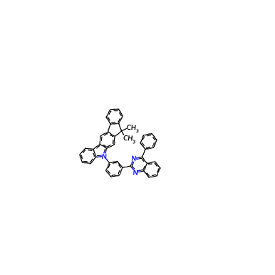 CC1(C)c2ccccc2-c2cc3c4ccccc4n(-c4cccc(-c5nc(-c6ccccc6)c6ccccc6n5)c4)c3cc21